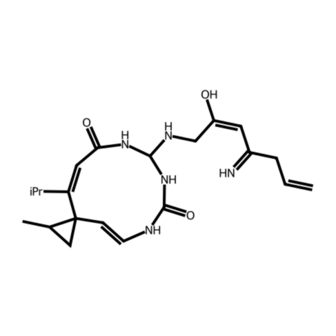 C=CCC(=N)/C=C(/O)CNC1NC(=O)/C=C(/C(C)C)C2(/C=C/NC(=O)N1)CC2C